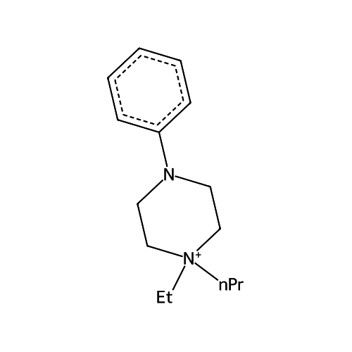 CCC[N+]1(CC)CCN(c2ccccc2)CC1